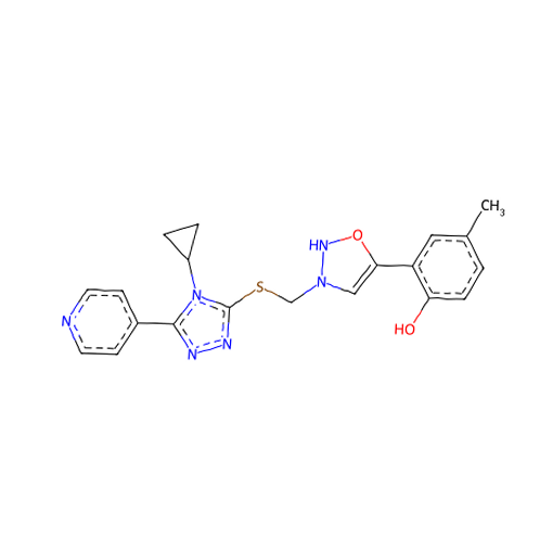 Cc1ccc(O)c(C2=CN(CSc3nnc(-c4ccncc4)n3C3CC3)NO2)c1